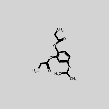 CCC(=O)Oc1ccc(OC(C)C)cc1OC(=O)CC